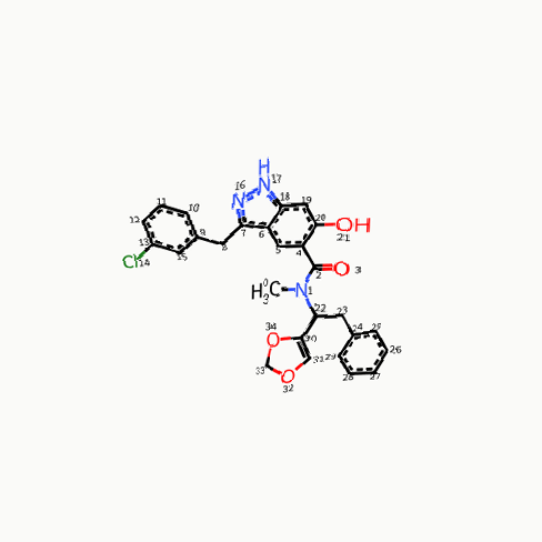 CN(C(=O)c1cc2c(Cc3cccc(Cl)c3)n[nH]c2cc1O)C(Cc1ccccc1)C1=COCO1